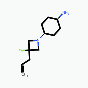 C=CCC1(F)CN([C@H]2CC[C@H](N)CC2)C1